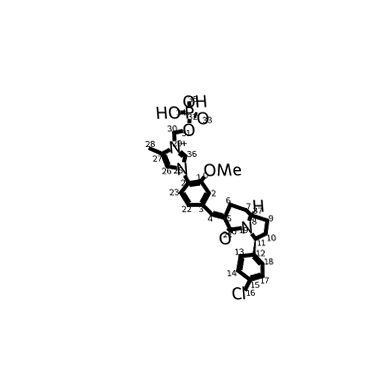 COc1cc(/C=C2\CC[C@H]3CC[C@@H](c4ccc(Cl)cc4)N3C2=O)ccc1-n1cc(C)[n+](COP(=O)(O)O)c1